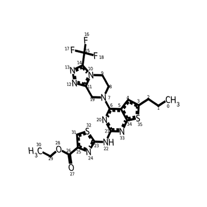 CCCc1cc2c(N3CCn4c(nnc4C(F)(F)F)C3)nc(Nc3nc(C(=O)OCC)cs3)nc2s1